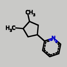 CC1CC(c2ccccn2)CC1C